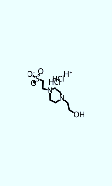 Cl.Cl.O=S(=O)([O-])CCN1CCN(CCO)CC1.[H+]